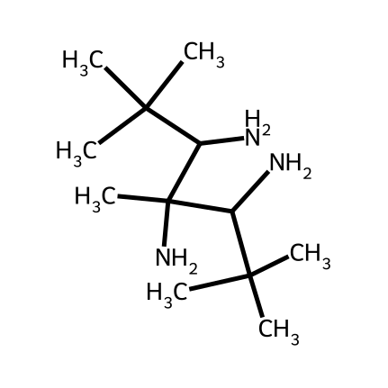 CC(C)(C)C(N)C(C)(N)C(N)C(C)(C)C